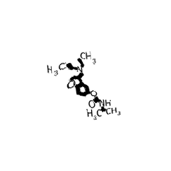 CCCN(CCC)CC1COc2ccc(OC(=O)NC(C)C)cc21